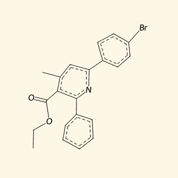 CCOC(=O)c1c(C)cc(-c2ccc(Br)cc2)nc1-c1ccccc1